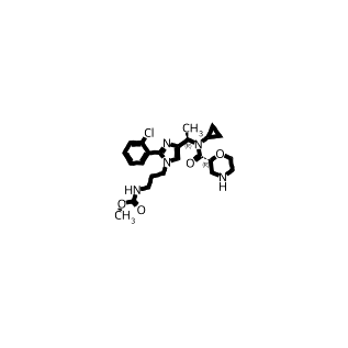 COC(=O)NCCCn1cc([C@@H](C)N(C(=O)[C@H]2CNCCO2)C2CC2)nc1-c1ccccc1Cl